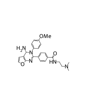 COc1ccc(N2C(c3ccc(C(=O)NCCN(C)C)cc3)=Nc3occc3C2N)cc1